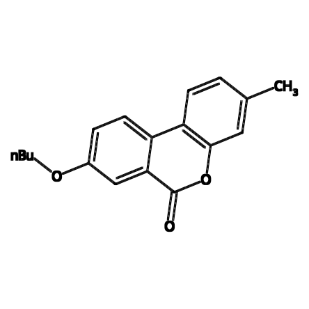 CCCCOc1ccc2c(c1)c(=O)oc1cc(C)ccc12